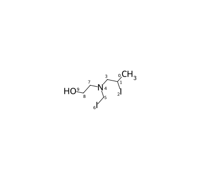 CC(I)CN(CI)CCO